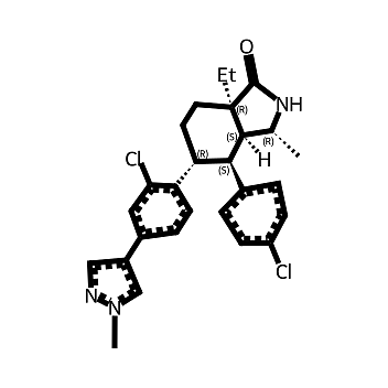 CC[C@@]12CC[C@@H](c3ccc(-c4cnn(C)c4)cc3Cl)[C@H](c3ccc(Cl)cc3)[C@@H]1[C@@H](C)NC2=O